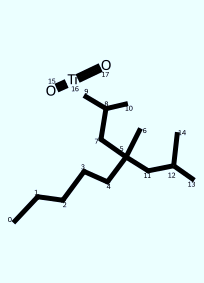 CCCCCC(C)(CC(C)C)CC(C)C.[O]=[Ti]=[O]